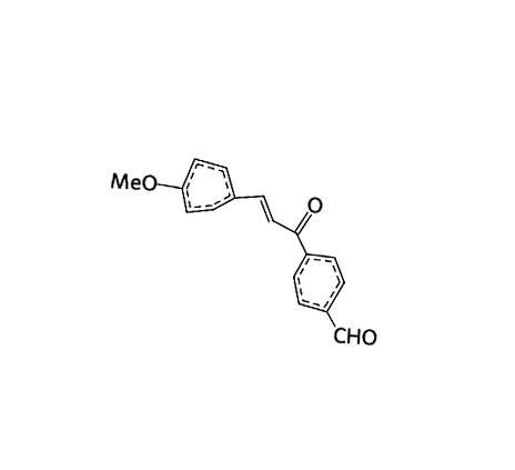 COc1ccc(C=CC(=O)c2ccc(C=O)cc2)cc1